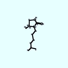 CC(C)CCCCN1C(=O)OC[C@@H]1C